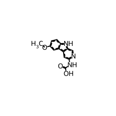 COc1ccc2[nH]c3cnc(NC(=O)O)cc3c2c1